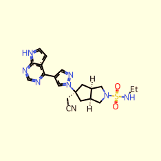 CCNS(=O)(=O)N1C[C@@H]2C[C@](CC#N)(n3cc(-c4ncnc5[nH]ccc45)cn3)C[C@@H]2C1